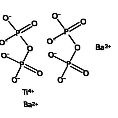 O=P([O-])([O-])OP(=O)([O-])[O-].O=P([O-])([O-])OP(=O)([O-])[O-].[Ba+2].[Ba+2].[Ti+4]